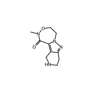 CN1OCCn2nc3c(c2C1=O)CNCC3